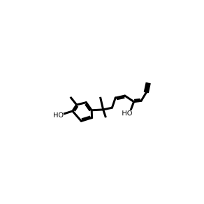 C#C/C=C(O)\C=C/CC(C)(C)c1ccc(O)c(C)c1